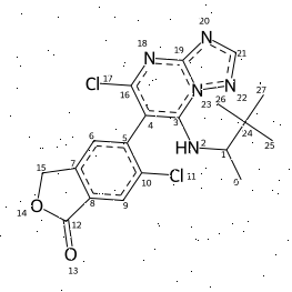 CC(Nc1c(-c2cc3c(cc2Cl)C(=O)OC3)c(Cl)nc2ncnn12)C(C)(C)C